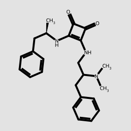 C[C@H](Cc1ccccc1)Nc1c(NCC(Cc2ccccc2)N(C)C)c(=O)c1=O